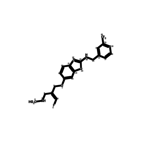 O=C(O)NCC(=CF)COc1ccc2nc(NCc3ccnc(C(F)(F)F)c3)oc2c1